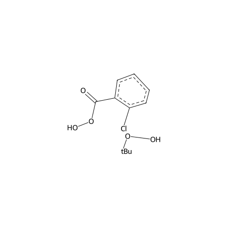 CC(C)(C)OO.O=C(OO)c1ccccc1Cl